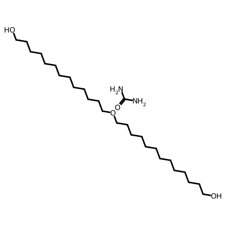 NC(N)=O.OCCCCCCCCCCCCCOCCCCCCCCCCCCCO